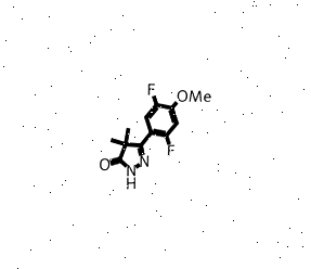 COc1cc(F)c(C2=NNC(=O)C2(C)C)cc1F